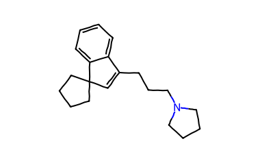 C1=C(CCCN2CCCC2)c2ccccc2C12CCCC2